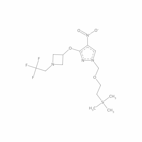 C[Si](C)(C)CCOCn1cc([N+](=O)[O-])c(OC2CN(CC(F)(F)F)C2)n1